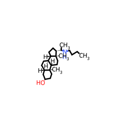 CCCCNC(C)[C@H]1CC[C@H]2[C@@H]3CC[C@H]4C[C@@H](O)CC[C@]4(C)[C@H]3CC[C@]12C